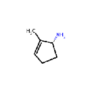 CC1=CCC[C@H]1N